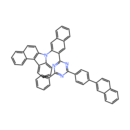 c1ccc(-c2nc(-c3ccc(-c4ccc5ccccc5c4)cc3)nc(-c3cc4ccccc4cc3-n3c4ccccc4c4c5ccccc5ccc43)n2)cc1